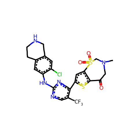 CN1CC(=O)c2sc(-c3nc(Nc4cc5c(cc4Cl)CNCC5)ncc3C(F)(F)F)cc2S(=O)(=O)C1